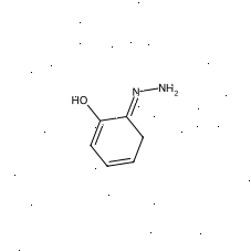 NN=C1CC=CC=C1O